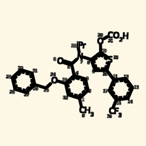 Cc1ccc(C(=O)N(c2cc(-c3cccc(C(F)(F)F)c3)sc2OC(=O)O)C(C)C)c(OCc2ccccc2)c1